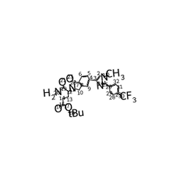 Cn1cc(-c2ccc3c(c2)CN(C(CCC(=O)OC(C)(C)C)C(N)=O)C3=O)nc1-c1ccc(C(F)(F)F)cc1